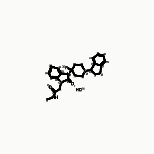 CNC(=O)Cn1c(=O)n(C2(F)CCN(C3CCc4ccccc43)CC2)c2ccccc21.Cl